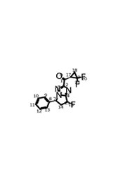 O=C(c1nc2n(n1)[C@H](c1ccccc1)C[C@@H]2F)[C@H]1CC1(F)F